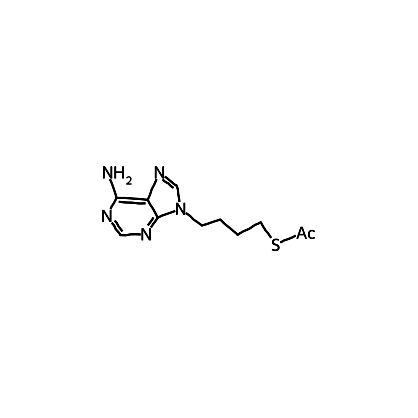 CC(=O)SCCCCn1cnc2c(N)ncnc21